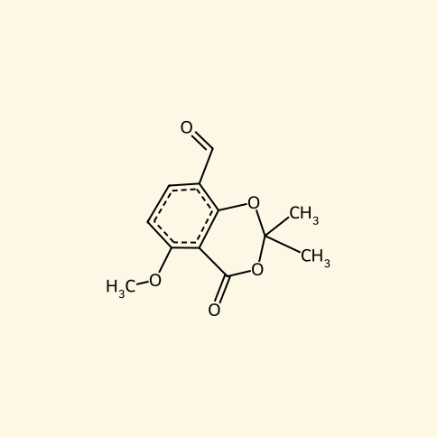 COc1ccc(C=O)c2c1C(=O)OC(C)(C)O2